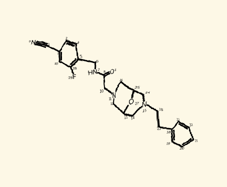 N#Cc1ccc(CNC(=O)CN2CC3CN(CCc4ccccc4)CC(C2)O3)c(F)c1